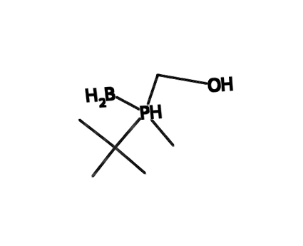 B[PH](C)(CO)C(C)(C)C